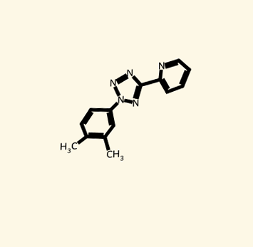 Cc1ccc(-n2nnc(-c3ccccn3)n2)cc1C